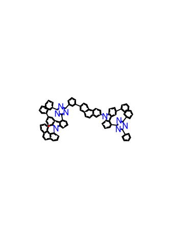 c1ccc(-c2ccc3c(c2)c2c(-c4nc(-c5ccccc5)nc(-c5ccccc5)n4)cccc2n3-c2ccc3c(ccc4cc(-c5cccc(-c6nc(-c7ccccc7)nc(-c7cccc8c7c7cc(-c9ccccc9)ccc7n8-c7cccc8ccc9ccccc9c78)n6)c5)ccc43)c2)cc1